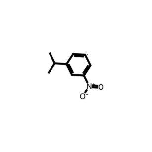 CC(C)c1c[c]cc([N+](=O)[O-])c1